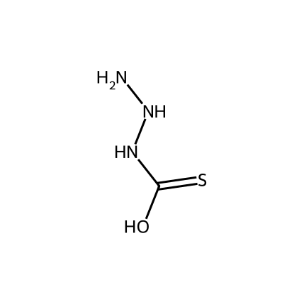 NNNC(O)=S